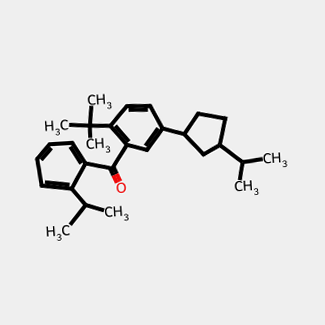 CC(C)c1ccccc1C(=O)c1cc(C2CCC(C(C)C)C2)ccc1C(C)(C)C